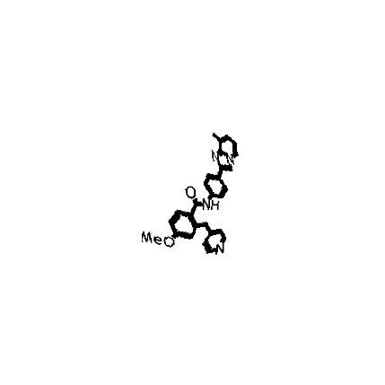 COc1ccc(C(=O)Nc2ccc(-c3cn4cccc(C)c4n3)cc2)c(Cc2ccncc2)c1